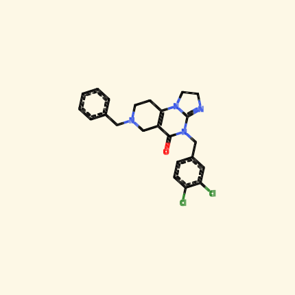 O=C1C2=C(CCN(Cc3ccccc3)C2)N2CCN=C2N1Cc1ccc(Cl)c(Cl)c1